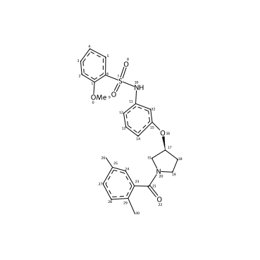 COc1ccccc1S(=O)(=O)Nc1cccc(O[C@H]2CCN(C(=O)c3cc(C)ccc3C)C2)c1